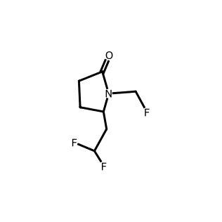 O=C1CCC(CC(F)F)N1CF